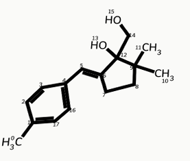 Cc1ccc(/C=C2\CCC(C)(C)C2(O)CO)cc1